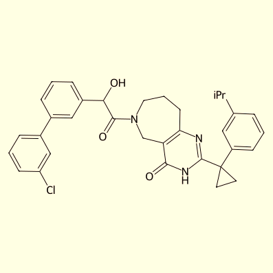 CC(C)c1cccc(C2(c3nc4c(c(=O)[nH]3)CN(C(=O)C(O)c3cccc(-c5cccc(Cl)c5)c3)CCC4)CC2)c1